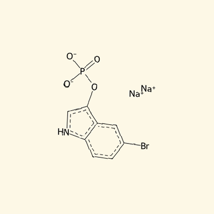 O=P([O-])([O-])Oc1c[nH]c2ccc(Br)cc12.[Na+].[Na+]